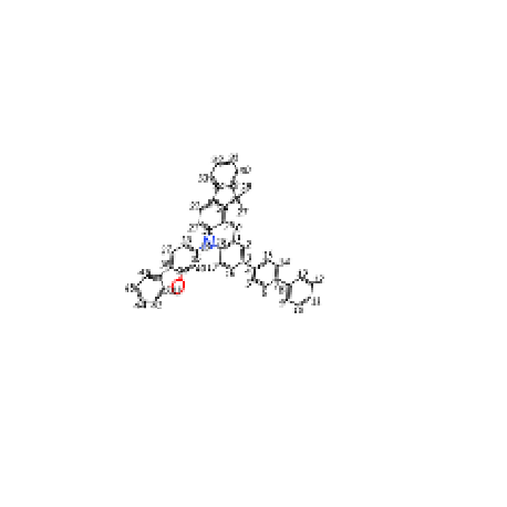 Cc1cc(-c2ccc(-c3ccccc3)cc2)ccc1N(c1ccc2c(c1)C(C)(C)c1ccccc1-2)c1ccc2c(c1)oc1ccccc12